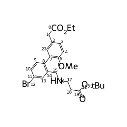 CCOC(=O)Cc1ccc(OC)c(-c2ccc(Br)cc2CNCCC(=O)OC(C)(C)C)c1